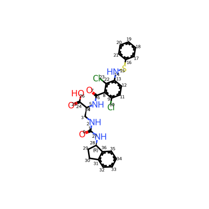 O=C(NC[C@H](NC(=O)c1c(Cl)ccc(NSc2ccccc2)c1Cl)C(=O)O)N[C@@H]1CCc2ccccc21